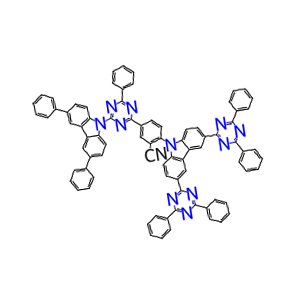 N#Cc1cc(-c2nc(-c3ccccc3)nc(-n3c4ccc(-c5ccccc5)cc4c4cc(-c5ccccc5)ccc43)n2)ccc1-n1c2ccc(-c3nc(-c4ccccc4)nc(-c4ccccc4)n3)cc2c2cc(-c3nc(-c4ccccc4)nc(-c4ccccc4)n3)ccc21